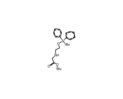 CC(C)(C)OC(=O)CNCCO[Si](c1ccccc1)(c1ccccc1)C(C)(C)C